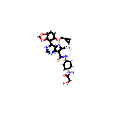 Cc1[nH]c2c(-c3c(OCC4CC4)ccc4c3OCO4)ncnc2c1C(=O)N[C@H]1CC[C@@H](NC(=O)CO)CC1